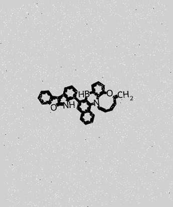 C=C1/C=C\C=C/N2c3c(cccc3O1)Bc1c(-c3cccc4c3[nH]c3oc5ccccc5c34)cc3ccccc3c12